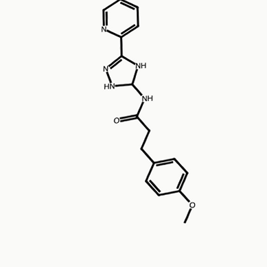 COc1ccc(CCC(=O)NC2NN=C(c3ccccn3)N2)cc1